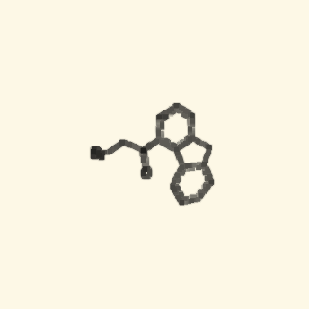 O=C(CBr)c1cccc2c1-c1ccccc1C2